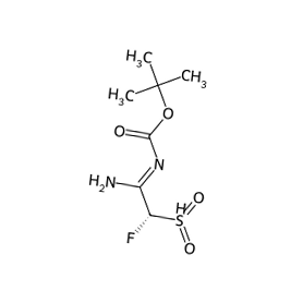 CC(C)(C)OC(=O)/N=C(\N)[C@@H](F)[SH](=O)=O